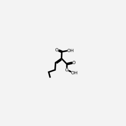 CCCC=C(C(=O)O)C(=O)OO